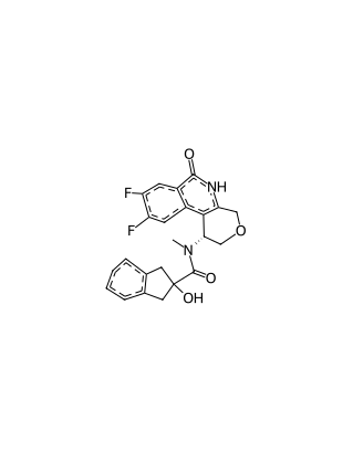 CN(C(=O)C1(O)Cc2ccccc2C1)[C@H]1COCc2[nH]c(=O)c3cc(F)c(F)cc3c21